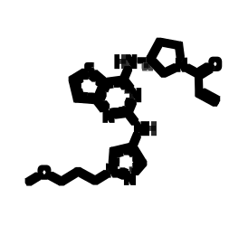 C=CC(=O)N1CC[C@@H](Nc2nc(Nc3cnn(CCCOC)c3)nc3ccsc23)C1